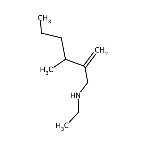 C=C(CNCC)C(C)CCC